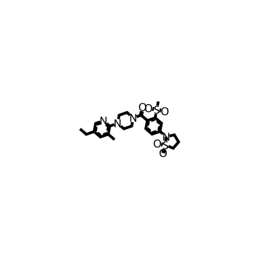 CCc1cnc(N2CCN(C(=O)c3ccc(N4CCCS4(=O)=O)cc3S(C)(=O)=O)CC2)c(C)c1